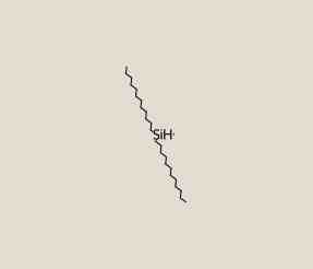 CCCCCCCCCCCC[SiH]CCCCCCCCCCCC